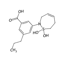 CCCc1cc(C(=O)O)cc(N2CC=CCCS2(O)O)c1